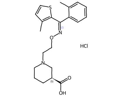 Cc1ccccc1/C(=N/OCCN1CCC[C@H](C(=O)O)C1)c1sccc1C.Cl